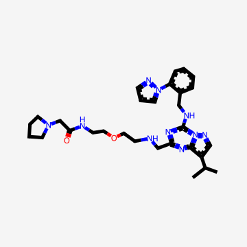 CC(C)c1cnn2c(NCc3ccccc3-n3cccn3)nc(CNCCOCCNC(=O)CN3CCCC3)nc12